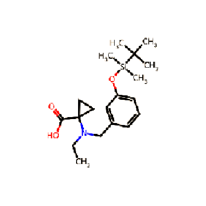 CCN(Cc1cccc(O[Si](C)(C)C(C)(C)C)c1)C1(C(=O)O)CC1